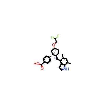 Cc1cc(C)c2[nH]ccc2c1/C=C1\CC[C@H](OCC(F)F)C[C@H]1c1ccc(C(=O)O)cc1